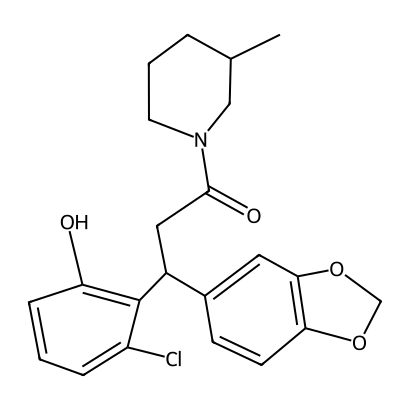 CC1CCCN(C(=O)CC(c2ccc3c(c2)OCO3)c2c(O)cccc2Cl)C1